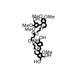 COc1cc2c(cc1OC)C(c1cc(CO)c(OC)c(OC)c1)[N+](C)(CCCOC(=O)CCC(=O)OCCC[N+]1(C)CCc3cc(CO)c(CO)c(OC)c3C1Cc1ccc(CO)c(CO)c1)CC2